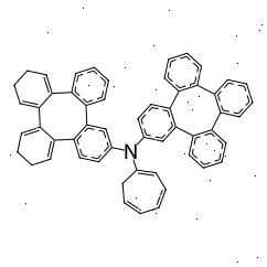 C1=CC=C(N(c2ccc3c(c2)-c2ccccc2C2=CCCC=C2C2=CCCC=C23)c2ccc3c(c2)-c2ccccc2-c2ccccc2-c2ccccc2-3)CC=C1